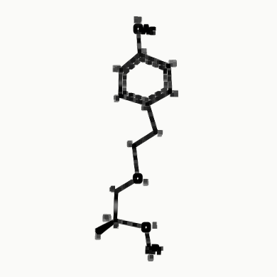 CCCO[C@@H](C)COCCc1ccc(OC(C)=O)cc1